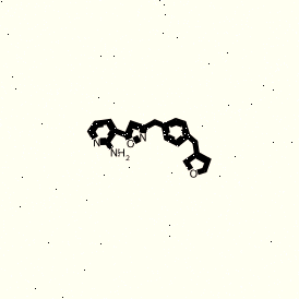 Nc1ncccc1-c1cc(Cc2ccc(CC3=CCOC3)cc2)no1